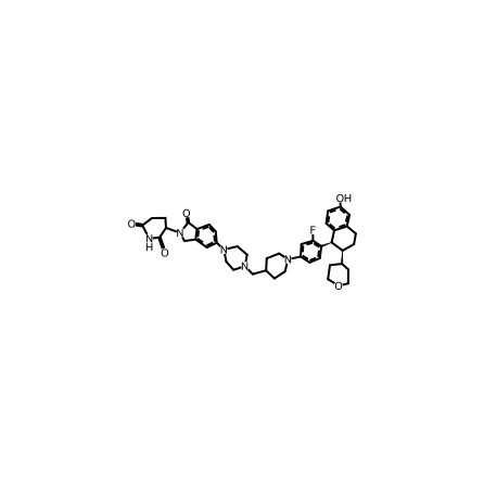 O=C1CCC(N2Cc3cc(N4CCN(CC5CCN(c6ccc([C@H]7c8ccc(O)cc8CC[C@H]7C7CCOCC7)c(F)c6)CC5)CC4)ccc3C2=O)C(=O)N1